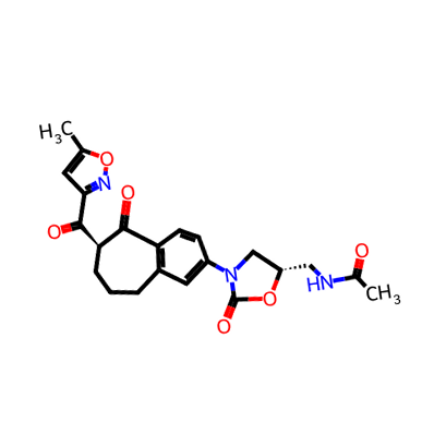 CC(=O)NC[C@H]1CN(c2ccc3c(c2)CCC[C@@H](C(=O)c2cc(C)on2)C3=O)C(=O)O1